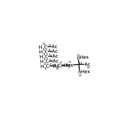 CC(C)=O.CC(C)=O.CC(C)=O.CC(C)=O.CC(C)=O.CC(C)=O.CCCCCCC(CCCCCC)(CCCCCC)C(C)=O